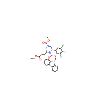 CCOC(=O)/C=C/C1CN(C(=O)OC)CC(c2cc(F)c(F)c(F)c2)N1C(=O)OCC1c2ccccc2-c2ccccc21